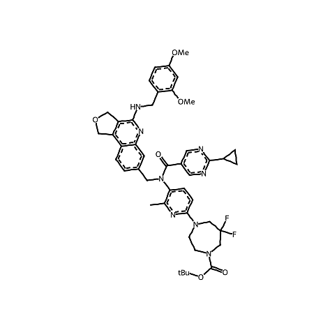 COc1ccc(CNc2nc3cc(CN(C(=O)c4cnc(C5CC5)nc4)c4ccc(N5CCN(C(=O)OC(C)(C)C)CC(F)(F)C5)nc4C)ccc3c3c2COC3)c(OC)c1